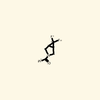 CC(C)C(=O)N1CC2C(C1)C2(F)F